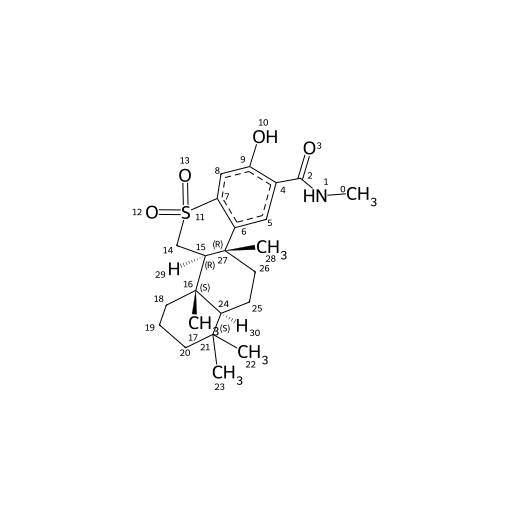 CNC(=O)c1cc2c(cc1O)S(=O)(=O)C[C@@H]1[C@@]3(C)CCCC(C)(C)[C@@H]3CC[C@@]21C